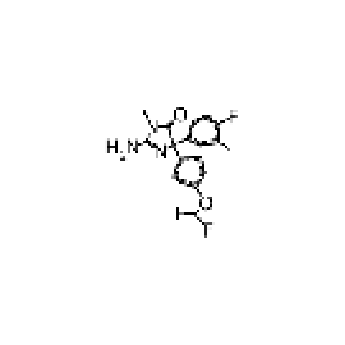 Cc1cc(C2(c3ccc(OC(F)F)cc3)N=C(N)N(C)C2=O)ccc1F